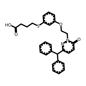 O=C(O)CCCSc1cccc(OCCn2nc(C(c3ccccc3)c3ccccc3)ccc2=O)c1